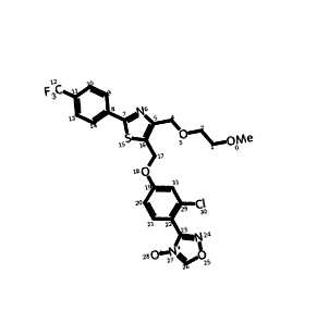 COCCOCc1nc(-c2ccc(C(F)(F)F)cc2)sc1COc1ccc(-c2noc[n+]2[O-])c(Cl)c1